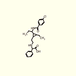 CCC(NC(=O)c1ccc(Cl)cc1)C1C(CC)C1CCNC(C(=O)O)c1ccccc1